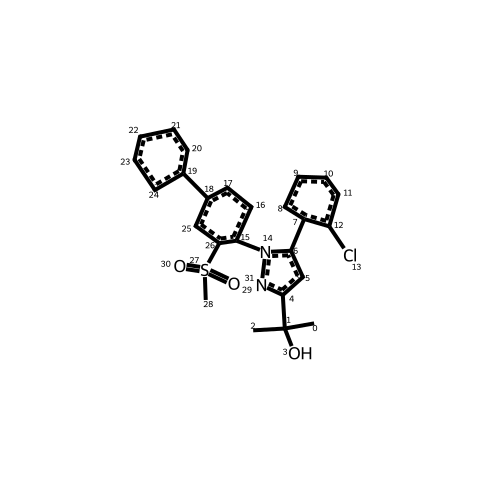 CC(C)(O)c1cc(-c2ccccc2Cl)n(-c2ccc(-c3ccccc3)cc2S(C)(=O)=O)n1